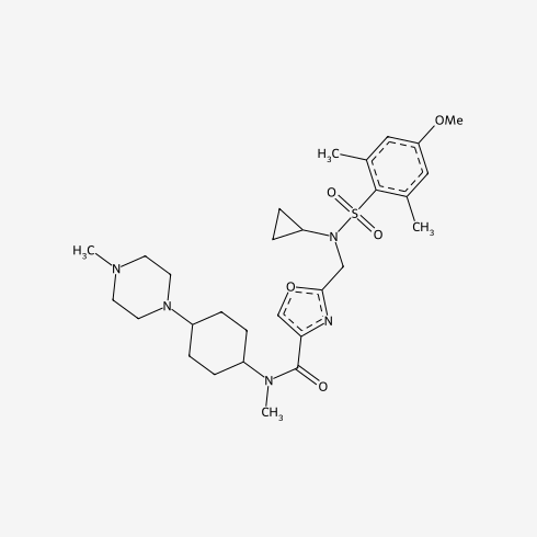 COc1cc(C)c(S(=O)(=O)N(Cc2nc(C(=O)N(C)C3CCC(N4CCN(C)CC4)CC3)co2)C2CC2)c(C)c1